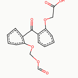 O=COCOc1ccccc1C(=O)c1ccccc1OCC(=O)O